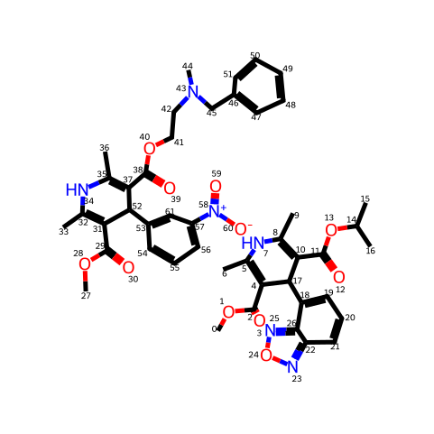 COC(=O)C1=C(C)NC(C)=C(C(=O)OC(C)C)C1c1cccc2nonc12.COC(=O)C1=C(C)NC(C)=C(C(=O)OCCN(C)Cc2ccccc2)C1c1cccc([N+](=O)[O-])c1